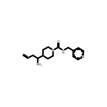 C=CCC(N)C1CCN(C(=O)NCc2ccncc2)CC1